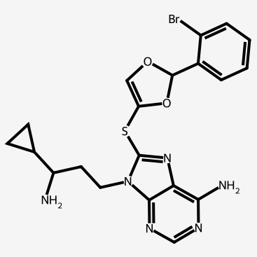 Nc1ncnc2c1nc(SC1=COC(c3ccccc3Br)O1)n2CCC(N)C1CC1